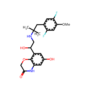 COc1cc(F)c(CC(C)(C)NCC(O)c2cc(O)cc3c2OCC(=O)N3)cc1F